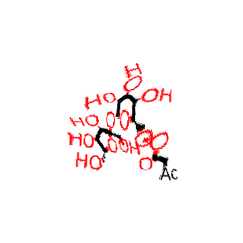 CC(=O)CC(=O)OOC[C@H]1O[C@H](O[C@]2(CO)O[C@H](CO)[C@@H](O)[C@@H]2O)[C@H](O)[C@@H](O)[C@@H]1O